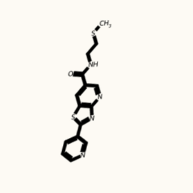 CSCCNC(=O)c1cnc2nc(-c3cccnc3)sc2c1